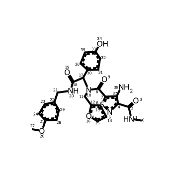 CNC(=O)c1nsc(C(=O)N(Cc2ccco2)C(C(=O)NCc2ccc(OC)cc2)c2ccc(O)cc2)c1N